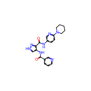 O=C(Nc1c[nH]nc1C(=O)Nc1ccc(N2CCCCC2)nc1)c1cccnc1